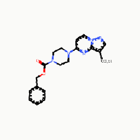 CCOC(=O)c1cnn2ccc(N3CCN(C(=O)OCc4ccccc4)CC3)nc12